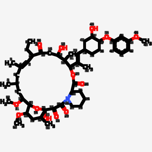 CCC1/C=C(\C)CC(C)CC(OC)C2OC(O)(C(=O)C(=O)N3CCCCC3C(=O)OC(C(C)=CC3CCC(Oc4cccc(OC)c4)C(O)C3)C(C)C(O)CC1=O)C(C)CC2OC